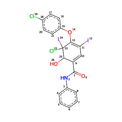 O=C(Nc1ccccc1)C1=CC(I)=C(Oc2ccc(Cl)cc2)C(Cl)(I)C1O